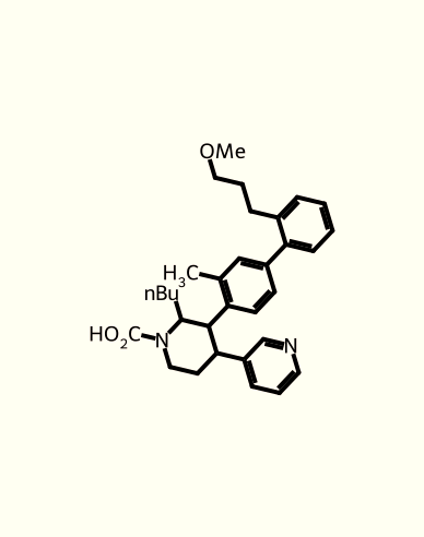 CCCCC1C(c2ccc(-c3ccccc3CCCOC)cc2C)C(c2cccnc2)CCN1C(=O)O